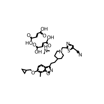 CNC.Cc1c(OCC2CC2)ccc2c(CCC3CCN(Cc4ncc(C#N)s4)CC3)noc12.O=C(O)C=CC(=O)O.O=C(O)C=CC(=O)O